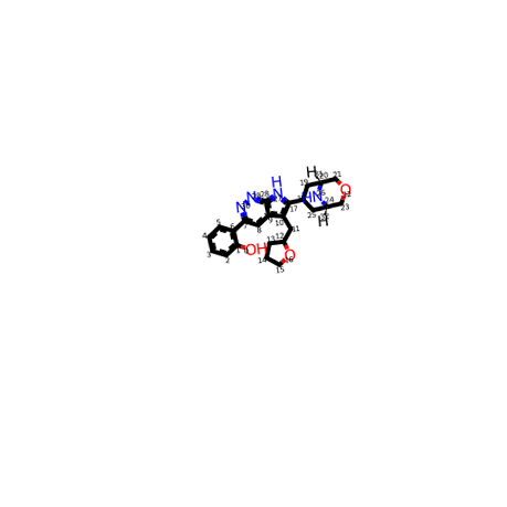 Oc1ccccc1-c1cc2c(CC3CCCO3)c(C3C[C@H]4COC[C@@H](C3)N4)[nH]c2nn1